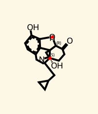 O=C1CC[C@@]2(O)C3Cc4ccc(O)c5c4C2(CCN3CC2CC2)[C@H]1O5